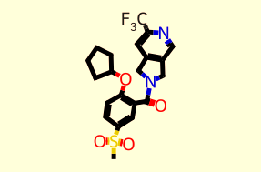 CS(=O)(=O)c1ccc(OC2CCCC2)c(C(=O)N2Cc3cnc(C(F)(F)F)cc3C2)c1